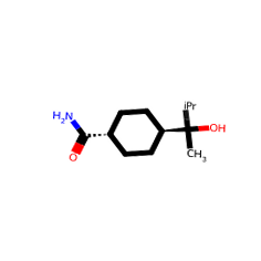 CC(C)C(C)(O)[C@H]1CC[C@H](C(N)=O)CC1